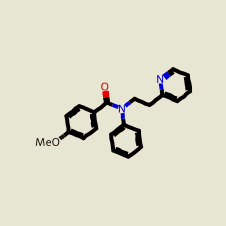 COc1ccc(C(=O)N(CCc2ccccn2)c2ccccc2)cc1